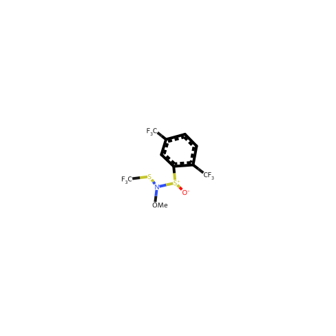 CON(SC(F)(F)F)[S+]([O-])c1cc(C(F)(F)F)ccc1C(F)(F)F